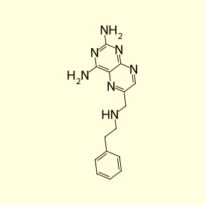 Nc1nc(N)c2nc(CNCCc3ccccc3)cnc2n1